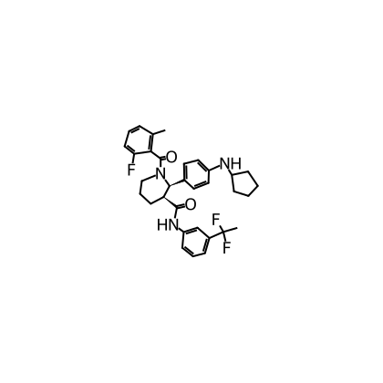 Cc1cccc(F)c1C(=O)N1CCC[C@H](C(=O)Nc2cccc(C(C)(F)F)c2)[C@@H]1c1ccc(NC2CCCC2)cc1